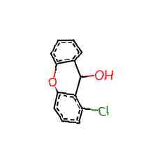 OC1c2ccccc2Oc2cccc(Cl)c21